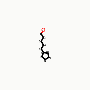 [O]CCCCCC1CCCC1